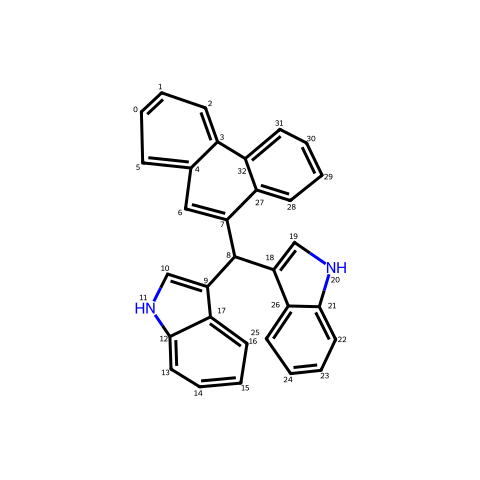 c1ccc2c(c1)cc(C(c1c[nH]c3ccccc13)c1c[nH]c3ccccc13)c1ccccc12